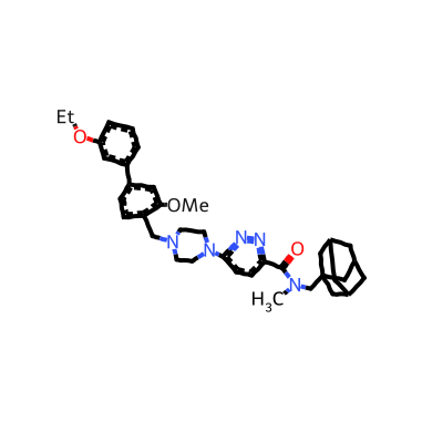 CCOc1cccc(-c2ccc(CN3CCN(c4ccc(C(=O)N(C)CC56CC7CC(CC(C7)C5)C6)nn4)CC3)c(OC)c2)c1